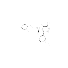 Cc1ccc(CCNC(=O)c2c(-c3cccc(C(F)(F)F)c3)nnc(Cl)c2C)c(C)c1